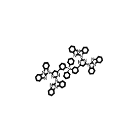 c1ccc([Si](c2ccccc2)(c2cccc(-c3cc(-n4c5ccccc5n5c6ccccc6nc45)nc(-n4c5ccccc5n5c6ccccc6nc45)n3)c2)c2cccc(-c3cc(-n4c5ccccc5n5c6ccccc6nc45)nc(-n4c5ccccc5n5c6ccccc6nc45)n3)c2)cc1